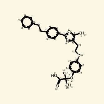 Cc1oc(-c2ccc(CCc3ccccc3)cc2)nc1CCOc1ccc(OC(C)(C)C(=O)O)cc1